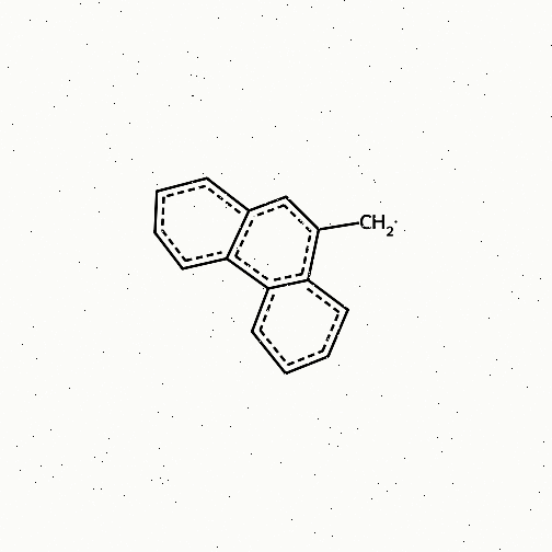 [CH2]c1cc2ccccc2c2ccccc12